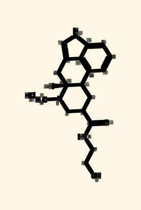 CN1CC(C(=O)NCCO)CC2c3cccc4[nH]cc(c34)C[C@H]21.Cl